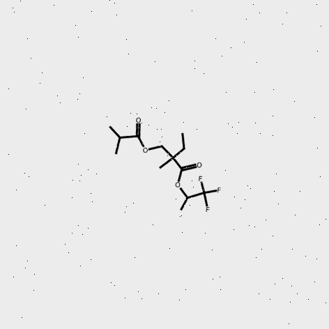 CCC(C)(COC(=O)C(C)C)C(=O)OC(C)C(F)(F)F